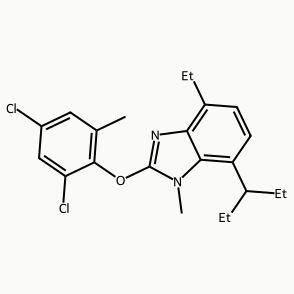 CCc1ccc(C(CC)CC)c2c1nc(Oc1c(C)cc(Cl)cc1Cl)n2C